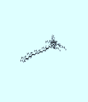 CCOP(=O)(CC/C=C(\C)CC/C=C(\C)CC/C=C(\C)CCC=C(C)C)C(CC)(CC)P(=O)(OCC)OCC